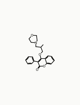 CC(COc1c(-c2ccccc2)c(=O)oc2ccccc12)CN1CCOCC1